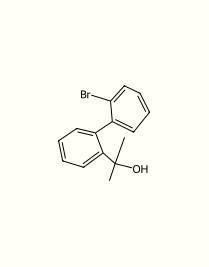 CC(C)(O)c1ccccc1-c1ccccc1Br